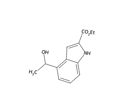 CCOC(=O)c1cc2c(C(C)O)cccc2[nH]1